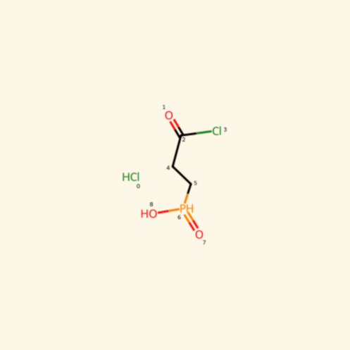 Cl.O=C(Cl)CC[PH](=O)O